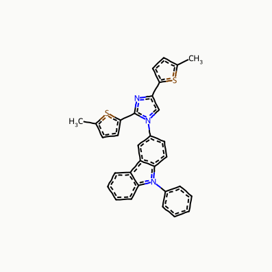 Cc1ccc(-c2cn(-c3ccc4c(c3)c3ccccc3n4-c3ccccc3)c(-c3ccc(C)s3)n2)s1